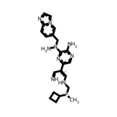 CP(CN/C=C(\C=N)c1cnc(N)c(N(N)Cc2ccc3nccn3c2)n1)C1CCC1